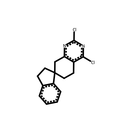 Clc1nc(Cl)c2c(n1)CC1(CCc3ccccc31)CC2